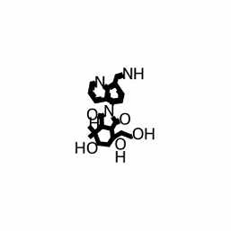 CC1(C)[C@@H]2C(=O)N(c3ccc(C=N)c4ncccc34)C(=O)C2C(O)(CCO)C[C@@H]1O